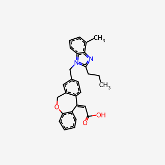 CCCc1nc2c(C)cccc2n1Cc1ccc2c(c1)COc1ccccc1C2=CC(=O)O